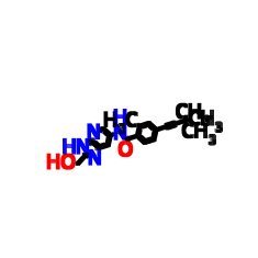 Cc1cc(C#CC(C)(C)C)ccc1C(=O)Nc1cnc2[nH]c(CO)nc2c1